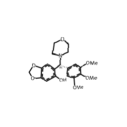 COc1cc([C@H](c2cc3c(cc2O)OCO3)N2CCOCC2)cc(OC)c1OC